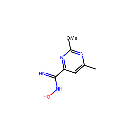 COc1nc(C)cc(C(=N)NO)n1